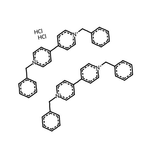 Cl.Cl.c1ccc(C[n+]2ccc(-c3cc[n+](Cc4ccccc4)cc3)cc2)cc1.c1ccc(C[n+]2ccc(-c3cc[n+](Cc4ccccc4)cc3)cc2)cc1